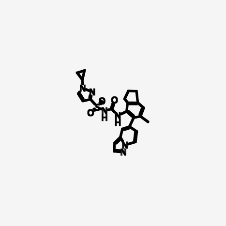 Cc1cc2c(c(NC(=O)NS(=O)(=O)c3ccn(C4CC4)n3)c1-c1ccn3nccc3c1)CCC2